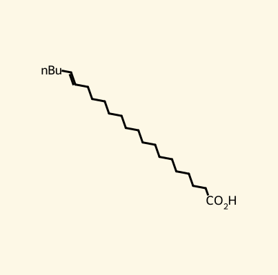 CCCCC=CCCCCCCCCCCCCCCCC(=O)O